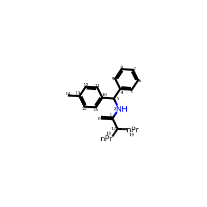 C=C(NC(c1ccccc1)c1ccc(C)cc1)C(CCC)CCC